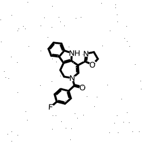 O=C(c1ccc(F)cc1)N1C=C(C2=NCCO2)c2[nH]c3ccccc3c2CC1